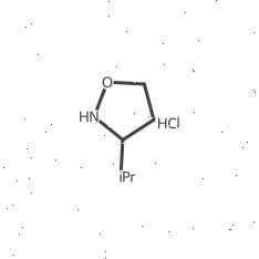 CC(C)C1CCON1.Cl